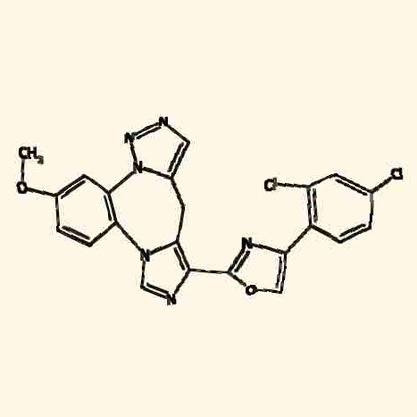 COc1ccc2c(c1)-n1nncc1Cc1c(-c3nc(-c4ccc(Cl)cc4Cl)co3)ncn1-2